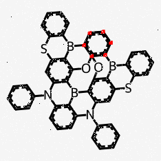 c1ccc(N2c3cccc4c3B(c3c2cc2c5c3Oc3ccccc3B5c3ccccc3S2)c2c(cc3c5c2Oc2ccccc2B5c2ccccc2S3)N4c2ccccc2)cc1